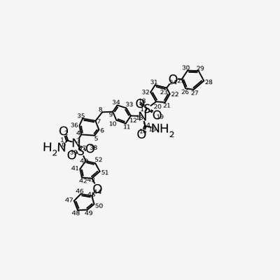 NC(=O)N(c1ccc(Cc2ccc(N(C(N)=O)S(=O)(=O)c3ccc(Oc4ccccc4)cc3)cc2)cc1)S(=O)(=O)c1ccc(Oc2ccccc2)cc1